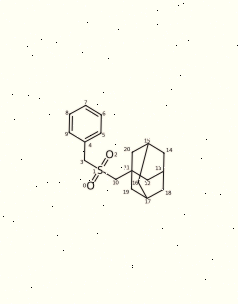 O=S(=O)(Cc1ccccc1)CC12CC3CC(CC(C3)C1)C2